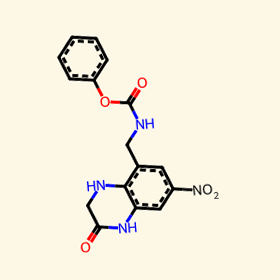 O=C1CNc2c(CNC(=O)Oc3ccccc3)cc([N+](=O)[O-])cc2N1